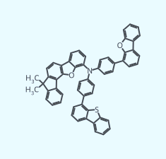 CC1(C)c2ccccc2-c2c1ccc1c2oc2c(N(c3ccc(-c4cccc5c4oc4ccccc45)cc3)c3ccc(-c4cccc5c4sc4ccccc45)cc3)cccc21